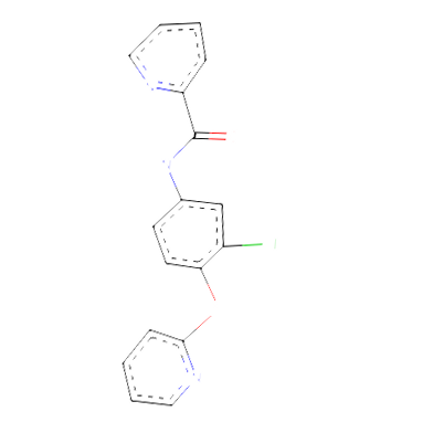 O=C(Nc1ccc(Oc2ccccn2)c(Cl)c1)c1ccccn1